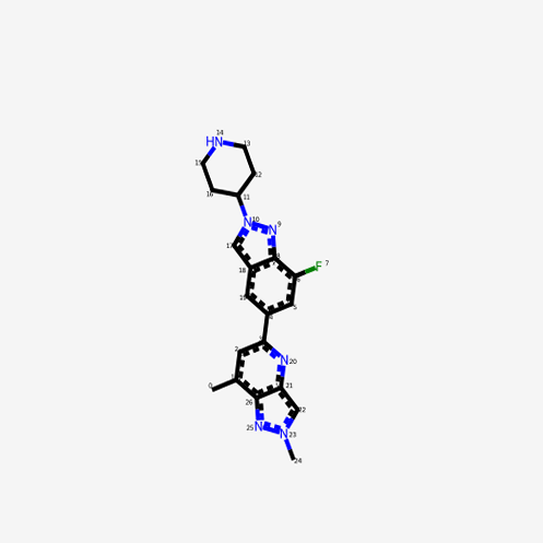 Cc1cc(-c2cc(F)c3nn(C4CCNCC4)cc3c2)nc2cn(C)nc12